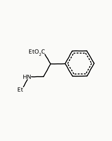 CCNCC(C(=O)OCC)c1ccccc1